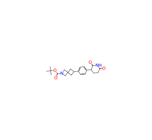 CC(C)(C)OC(=O)N1CC2(CC(c3ccc(C4CCC(=O)NC4=O)cc3)C2)C1